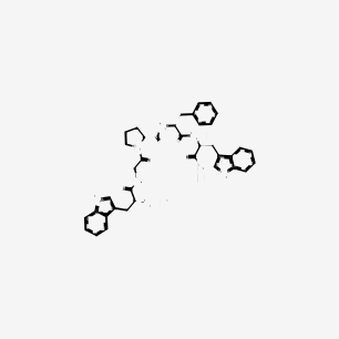 CC(=O)N[C@@H](Cc1c[nH]c2ccccc12)C(=O)NCC(=O)N1CCC[C@@H]1C(=O)N[C@@H](Cc1ccccc1)C(=O)N[C@@H](Cc1c[nH]c2ccccc12)C(N)=O